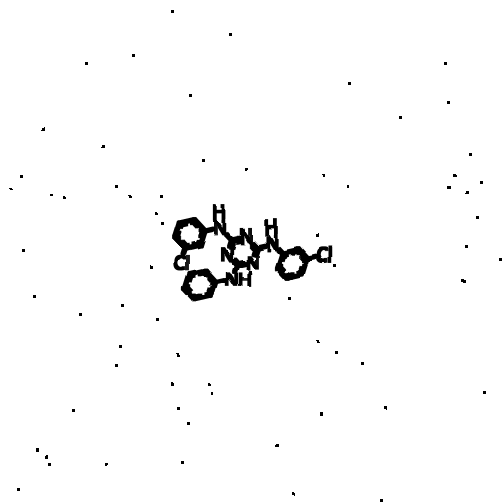 Clc1cccc(Nc2nc(Nc3ccccc3)nc(Nc3cccc(Cl)c3)n2)c1